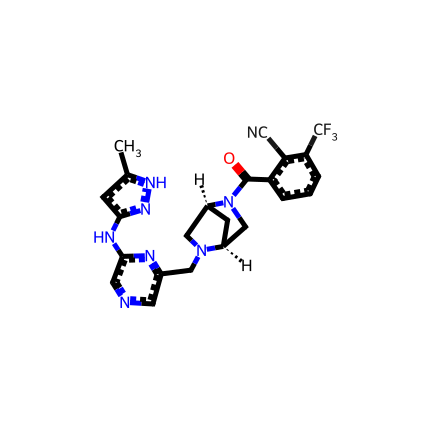 Cc1cc(Nc2cncc(CN3C[C@@H]4C[C@H]3CN4C(=O)c3cccc(C(F)(F)F)c3C#N)n2)n[nH]1